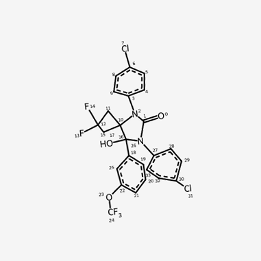 O=C1N(c2ccc(Cl)cc2)C2(CC(F)(F)C2)C(O)(c2cccc(OC(F)(F)F)c2)N1c1ccc(Cl)cc1